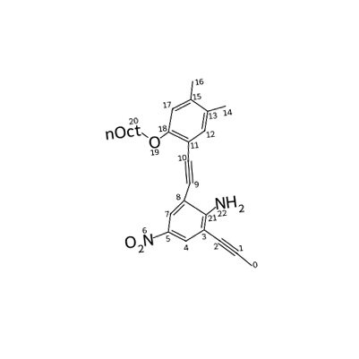 CC#Cc1cc([N+](=O)[O-])cc(C#Cc2cc(C)c(C)cc2OCCCCCCCC)c1N